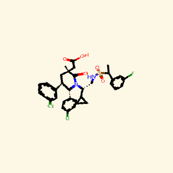 CC(c1cccc(F)c1)S(=O)(=O)NC[C@H](C1CC1)N1C(=O)[C@@](C)(CC(=O)O)C[C@H](c2cccc(Cl)c2)[C@H]1c1ccc(Cl)cc1